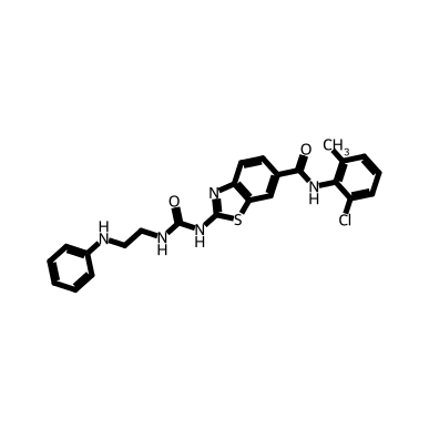 Cc1cccc(Cl)c1NC(=O)c1ccc2nc(NC(=O)NCCNc3ccccc3)sc2c1